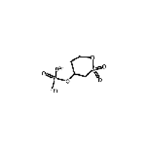 CCCP(=O)(CCC)OC1CCOS(=O)(=O)C1